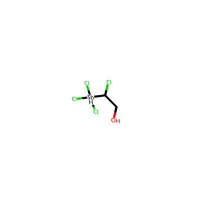 OC[CH](Cl)[SbH]([Cl])([Cl])[Cl]